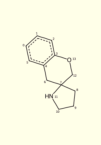 c1ccc2c(c1)CC1(CCCN1)CO2